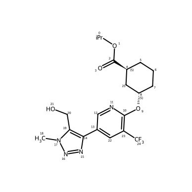 CC(C)OC(=O)[C@H]1CCC[C@H](Oc2ncc(-c3nnn(C)c3CO)cc2C(F)(F)F)C1